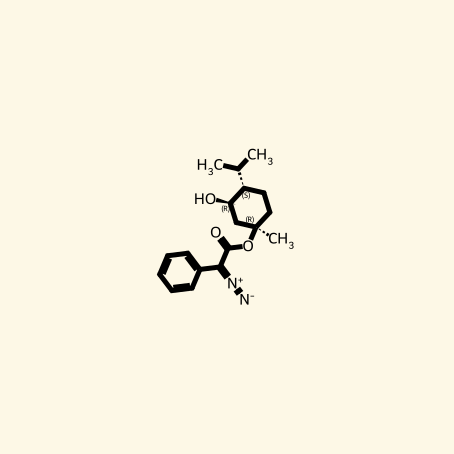 CC(C)[C@@H]1CC[C@@](C)(OC(=O)C(=[N+]=[N-])c2ccccc2)C[C@H]1O